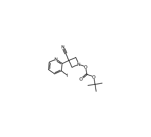 CC(C)(C)OC(=O)ON1CC(C#N)(c2ncccc2I)C1